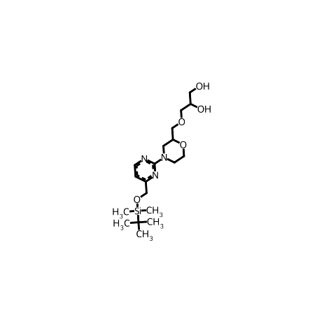 CC(C)(C)[Si](C)(C)OCc1ccnc(N2CCOC(COCC(O)CO)C2)n1